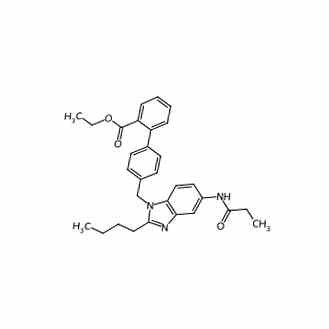 CCCCc1nc2cc(NC(=O)CC)ccc2n1Cc1ccc(-c2ccccc2C(=O)OCC)cc1